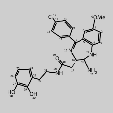 COc1ccc2c(c1)C(c1ccc(Cl)cc1)=N[C@@H](CC(=O)NCCc1cccc(O)c1O)C(N)N2